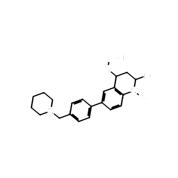 CCC1CC(NC(=O)O)c2cc(-c3ccc(CN4CCCCC4)cc3)ccc2N1C(C)=O